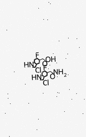 NC(=O)Cc1cc2c(Cl)c[nH]c2cc1F.O=C(O)Cc1cc2c(Cl)c[nH]c2cc1F